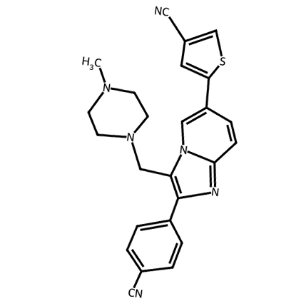 CN1CCN(Cc2c(-c3ccc(C#N)cc3)nc3ccc(-c4cc(C#N)cs4)cn23)CC1